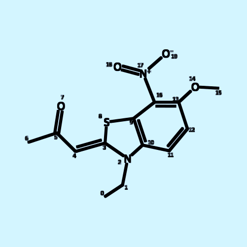 CCN1C(=CC(C)=O)Sc2c1ccc(OC)c2[N+](=O)[O-]